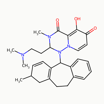 CC1C=CC2=C(CCc3ccccc3C2N2C(CCN(C)C)N(C)C(=O)c3c(O)c(=O)ccn32)C1